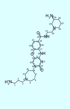 NCCCN1CCCC(n2cc3c(nc2=O)Nc2cc(C(=O)NCCN4CCC[C@H](N)C4)ccc2O3)CC1